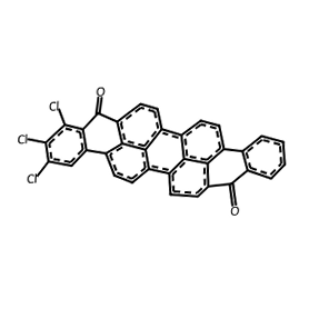 O=C1c2ccccc2-c2ccc3c4ccc5c6c(ccc(c7ccc1c2c37)c64)-c1cc(Cl)c(Cl)c(Cl)c1C5=O